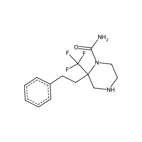 NC(=O)N1CCNCC1(CCc1ccccc1)C(F)(F)F